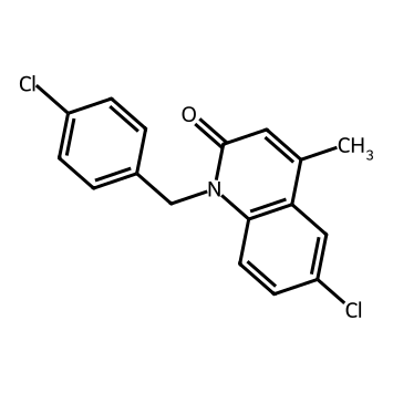 Cc1cc(=O)n(Cc2ccc(Cl)cc2)c2ccc(Cl)cc12